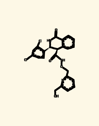 O=C1N[C@@H](c2ccc(Cl)cc2Cl)[C@H](C(=O)NOCc2cccc(CO)n2)c2ccccc21